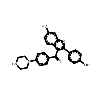 O=C(c1ccc(N2CCNCC2)cc1)c1c(-c2ccc(O)cc2)sc2cc(O)ccc12